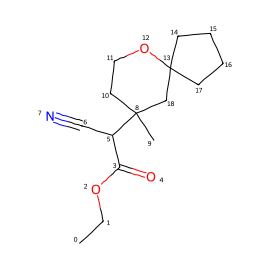 CCOC(=O)C(C#N)C1(C)CCOC2(CCCC2)C1